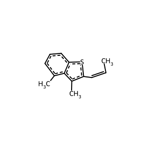 C/C=C\c1sc2cccc(C)c2c1C